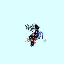 COc1ccccc1[C@H]1CC(=O)C2=C(C1)NC(C)=C(C(=O)OC1CCCC1)[C@H]2c1cccc(O)c1